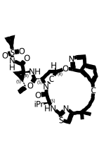 C=C[C@@H]1C[C@]1(NC(=O)[C@@H]1C[C@@H]2CN1C(=O)[C@H](C(C)C)Nc1nc(cs1)C(C)(C)CCCc1ccc3ccnc(c3c1)O2)C(=O)NS(=O)(=O)C1CC1